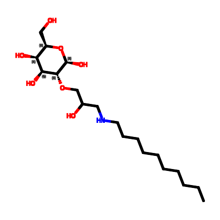 CCCCCCCCCCNCC(O)CO[C@@H]1[C@@H](O)[C@@H](O)[C@@H](CO)O[C@H]1O